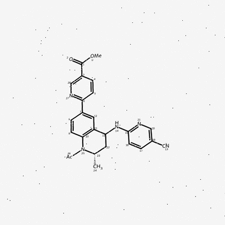 COC(=O)c1ccc(-c2ccc3c(c2)C(Nc2ccc(C#N)cn2)C[C@H](C)N3C(C)=O)nc1